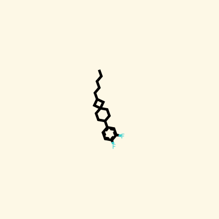 CCCCCC1CC2(CCC(c3ccc(F)c(F)c3)CC2)C1